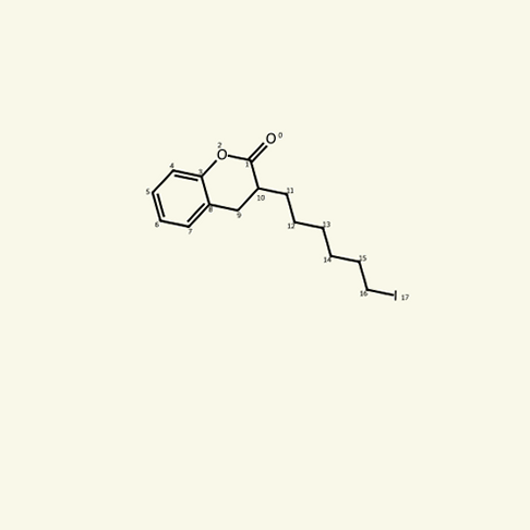 O=C1Oc2ccccc2CC1CCCCCCI